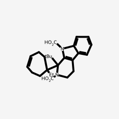 CCC1(C2(C(C)(C)C)c3c(c4ccccc4n3C(=O)O)CCN2C(=O)O)CCC=CCC1